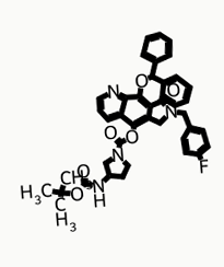 CC(C)(C)OC(=O)NC1CCN(C(=O)Oc2c3c(c(OC(c4ccccc4)c4ccccc4)c4ncccc24)C(=O)N(Cc2ccc(F)cc2)C3)C1